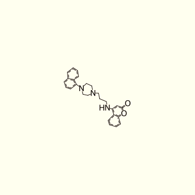 O=c1cc(NCCCN2CCN(c3cccc4ccccc34)CC2)c2ccccc2o1